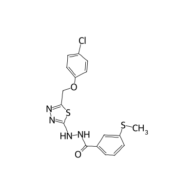 CSc1cccc(C(=O)NNc2nnc(COc3ccc(Cl)cc3)s2)c1